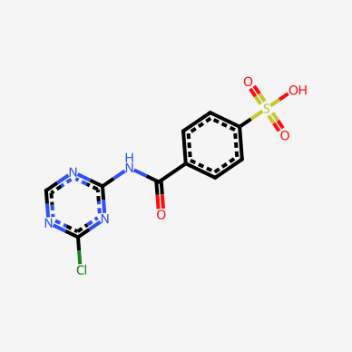 O=C(Nc1ncnc(Cl)n1)c1ccc(S(=O)(=O)O)cc1